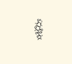 Cc1ccc2c(=O)c(S(=O)(=O)c3cccs3)coc2c1